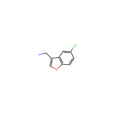 Clc1ccc2occ(CI)c2c1